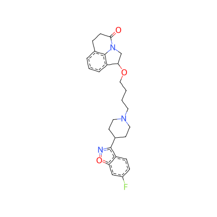 O=C1CCc2cccc3c2N1CC3OCCCCN1CCC(c2noc3cc(F)ccc23)CC1